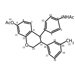 CC(=O)Nc1ccc(C2c3ccc(OC(C)=O)cc3OCC2c2cccc(C)c2)cc1